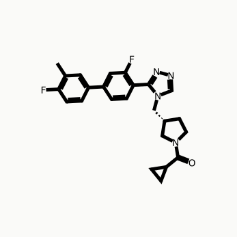 Cc1cc(-c2ccc(-c3nncn3C[C@@H]3CCN(C(=O)C4CC4)C3)c(F)c2)ccc1F